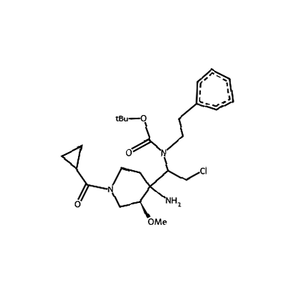 CO[C@H]1CN(C(=O)C2CC2)CCC1(N)C(CCl)N(CCc1ccccc1)C(=O)OC(C)(C)C